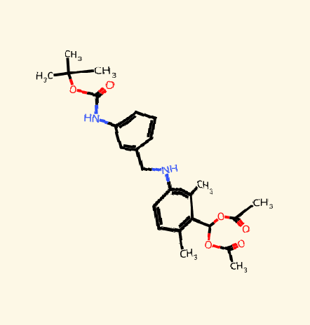 CC(=O)OC(OC(C)=O)c1c(C)ccc(NCc2cccc(NC(=O)OC(C)(C)C)c2)c1C